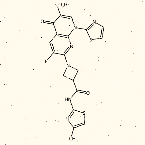 Cc1csc(NC(=O)C2CN(c3nc4c(cc3F)c(=O)c(C(=O)O)cn4-c3nccs3)C2)n1